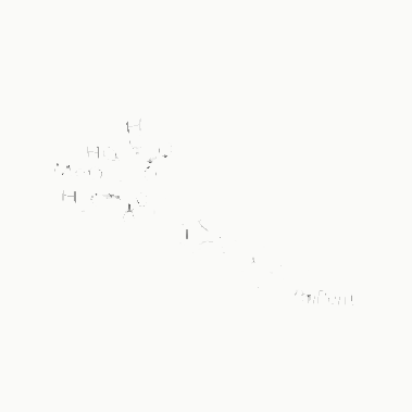 C=C(CO)C(=O)OCC(CCc1ccc(C2CCC(C3CCC(CCCCC)CC3)CC2)cc1)COC(=O)C(=C)COC